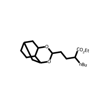 [CH2]CCCC(CC[C]1OC2CC3CCC2C(C3)O1)C(=O)OCC